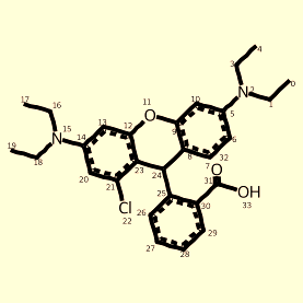 CCN(CC)c1ccc2c(c1)Oc1cc(N(CC)CC)cc(Cl)c1C2c1ccccc1C(=O)O